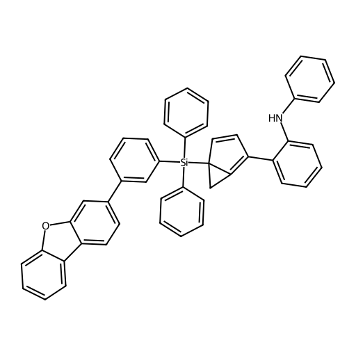 C1=CC2([Si](c3ccccc3)(c3ccccc3)c3cccc(-c4ccc5c(c4)oc4ccccc45)c3)CC2=C1c1ccccc1Nc1ccccc1